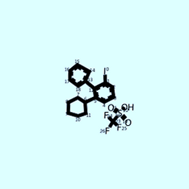 Ic1cccc(C2CCCCC2)c1-c1ccccc1.O=S(=O)(O)C(F)(F)F